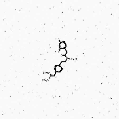 CCCCCCCN(CCc1ccc(C[C@H](OCC)C(=O)O)cc1)C(=O)Cc1ccc(F)cc1F